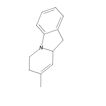 CC1=CC2Cc3ccccc3N2CC1